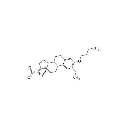 CCCCOc1cc2c(cc1CC)C1CC[C@]3(C)/C(=C/[N+](=O)[O-])CCC3C1CC2